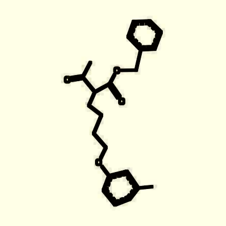 CC(=O)C(CCCCOc1cccc(C)c1)C(=O)OCc1ccccc1